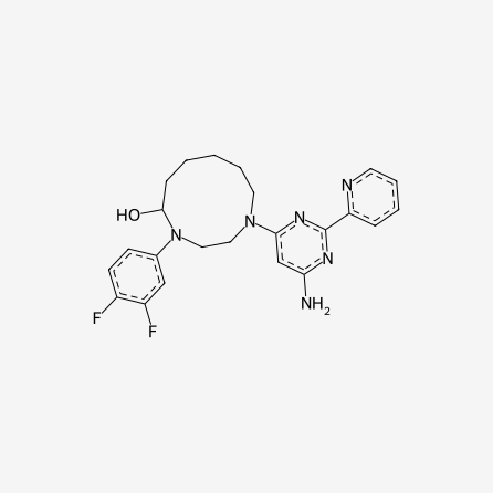 Nc1cc(N2CCCCCC(O)N(c3ccc(F)c(F)c3)CC2)nc(-c2ccccn2)n1